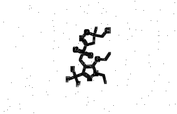 CCOc1c(CS(=O)(=O)C2=NOC(C)(CCl)C2)c(C(F)(F)F)nn1CC